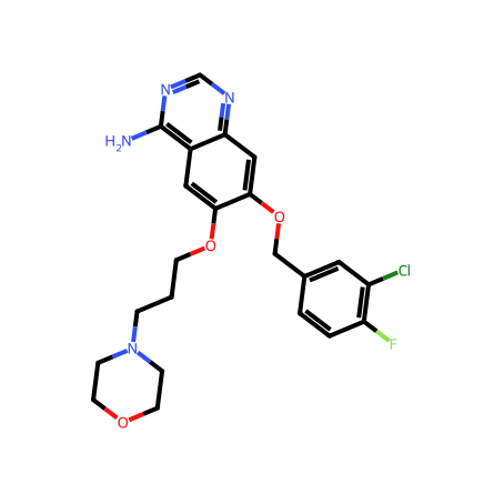 Nc1ncnc2cc(OCc3ccc(F)c(Cl)c3)c(OCCCN3CCOCC3)cc12